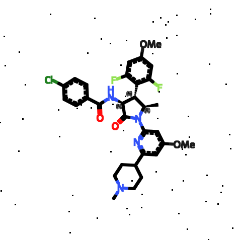 COc1cc(C2CCN(C)CC2)nc(N2C(=O)[C@@H](NC(=O)c3ccc(Cl)cc3)[C@H](c3c(F)cc(OC)cc3F)[C@H]2C)c1